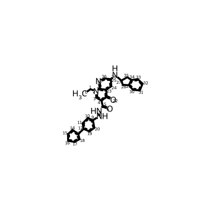 CCn1cc(C(=O)NNc2ccc(-c3ccccc3)cc2)c(=O)c2cc(NC3Cc4ccccc4C3)cnc21